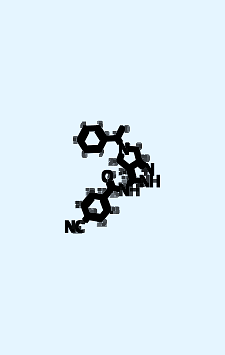 CC(c1ccccc1)N1Cc2n[nH]c(NC(=O)c3ccc(C#N)cc3)c2C1